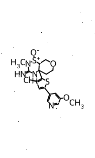 COc1cncc(-c2cc(Cl)c(C34CCOCC3[S+]([O-])N(C)C(=N)N4)s2)c1